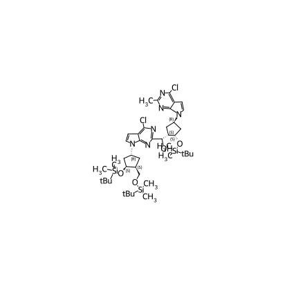 Cc1nc(Cl)c2ccn([C@H]3C[C@H](O[Si](C)(C)C(C)(C)C)[C@H](C(O)c4nc(Cl)c5ccn([C@@H]6C[C@@H](CO[Si](C)(C)C(C)(C)C)[C@@H](O[Si](C)(C)C(C)(C)C)C6)c5n4)C3)c2n1